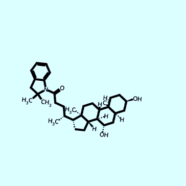 C[C@H](CCC(=O)N1c2ccccc2CC1(C)C)[C@H]1CC[C@H]2[C@@H]3[C@@H](O)C[C@@H]4C[C@H](O)CC[C@]4(C)[C@H]3CC[C@]12C